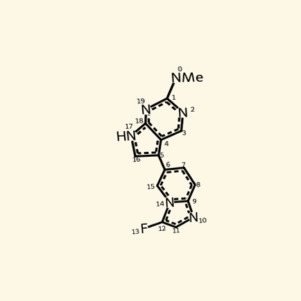 CNc1ncc2c(-c3ccc4ncc(F)n4c3)c[nH]c2n1